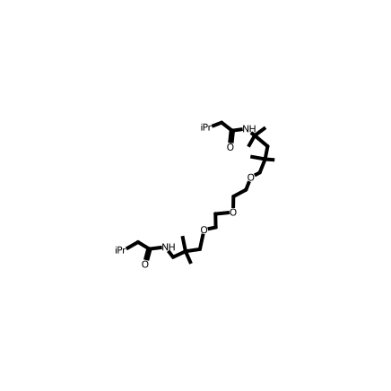 CC(C)CC(=O)NCC(C)(C)COCCOCCOCC(C)(C)CC(C)(C)NC(=O)CC(C)C